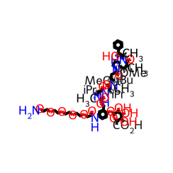 CC[C@H](C)[C@@H]([C@@H](CC(=O)N1CCC[C@H]1[C@H](OC)[C@@H](C)C(=O)N[C@H](C)[C@@H](O)c1ccccc1)OC)N(C)C(=O)[C@@H](NC(=O)[C@H](C(C)C)N(C)C(=O)OCc1cc(NC(=O)COCCOCCOCCOCCON)ccc1OC1OC(C(=O)O)C(O)C(O)C1O)C(C)C